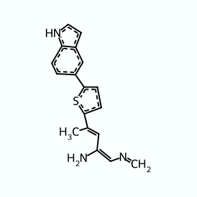 C=N/C=C(N)\C=C(/C)c1ccc(-c2ccc3[nH]ccc3c2)s1